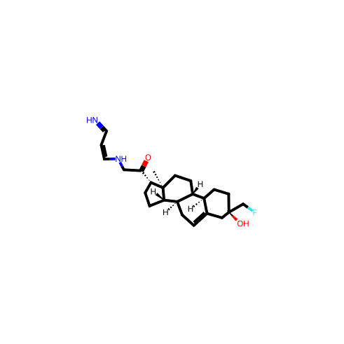 C[C@]12CC[C@H]3[C@@H](CC=C4C[C@@](O)(CF)CC[C@@H]43)[C@@H]1CC[C@@H]2C(=O)CN/C=C\C=N